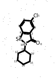 O=c1c2cc(Cl)ccc2[se]n1C1CCCCC1